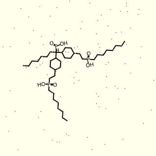 CCCCCCCCP(=O)(O)CCC1CCC(C(CCCCCCC)(C2CCC(CCP(=O)(O)CCCCCCCC)CC2)[PH](=O)O)CC1